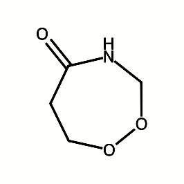 O=C1CCOOCN1